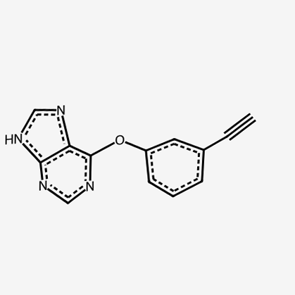 C#Cc1cccc(Oc2ncnc3[nH]cnc23)c1